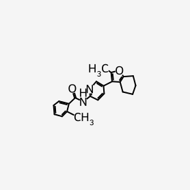 Cc1ccccc1C(=O)Nc1ccc(-c2c(C)oc3c2CCCC3)cn1